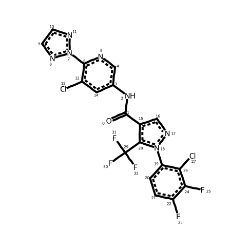 O=C(Nc1cnc(-n2nccn2)c(Cl)c1)c1cnn(-c2ccc(F)c(F)c2Cl)c1C(F)(F)F